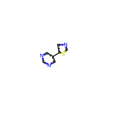 c1ncc(-c2cncs2)cn1